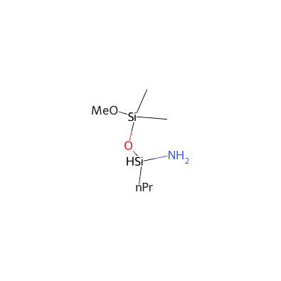 CCC[SiH](N)O[Si](C)(C)OC